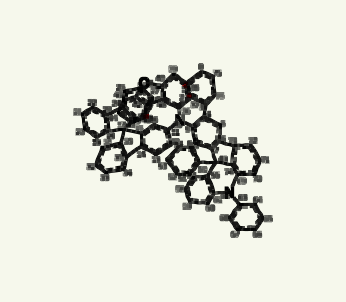 c1ccc(-c2cc3c(cc2N(c2ccc4c(c2)C2(c5ccccc5-c5ccccc52)c2ccccc2-4)c2cccc4oc5ccccc5c24)C2(c4ccccc4)c4ccccc4N(c4ccccc4)c4cccc-3c42)cc1